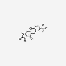 O=c1[nH]c2c(=O)n(Cc3cc(C(F)(F)F)ccc3Cl)ccc2o1